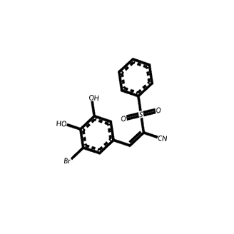 N#C/C(=C/c1cc(O)c(O)c(Br)c1)S(=O)(=O)c1ccccc1